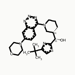 CC(C)(C)c1csc([C@@H](O)[C@H]2CCCN(c3nnnc4cc(N5CCOCC5)ccc34)C2)n1